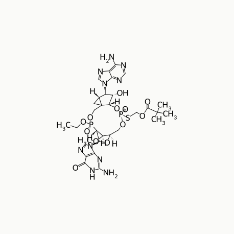 CCOP1(=O)OCC23C[C@@H]2[C@@H](n2cnc4c(N)ncnc42)[C@H](O)[C@@H]3OP(=O)(SCOC(=O)C(C)(C)C)OC[C@H]2O[C@@H](n3cnc4c(=O)[nH]c(N)nc43)[C@H]1[C@@H]2OC